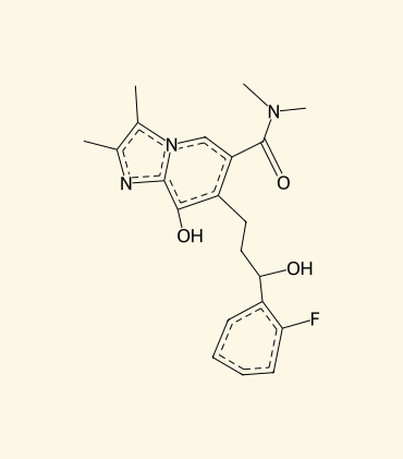 Cc1nc2c(O)c(CCC(O)c3ccccc3F)c(C(=O)N(C)C)cn2c1C